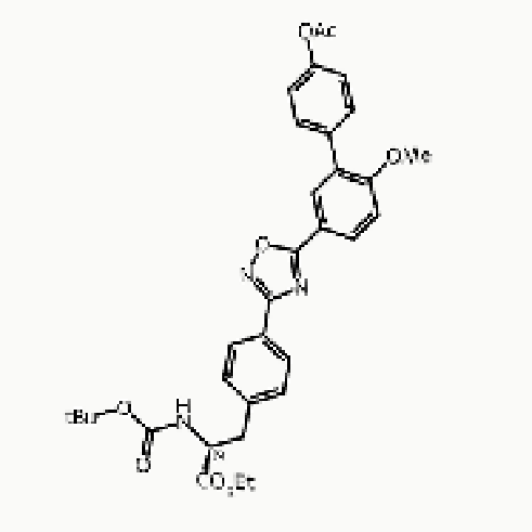 CCOC(=O)[C@H](Cc1ccc(-c2noc(-c3ccc(OC)c(-c4ccc(OC(C)=O)cc4)c3)n2)cc1)NC(=O)OC(C)(C)C